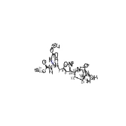 CC(C)(C)OC(=O)/N=C(\NCc1cc([C@@H]2CC[C@H]3CN2C(=O)N3O)no1)NC(=O)OC(C)(C)C